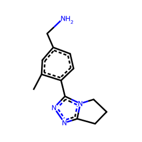 Cc1cc(CN)ccc1-c1nnc2n1CCC2